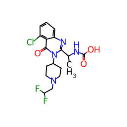 CC(NC(=O)O)c1nc2cccc(Cl)c2c(=O)n1C1CCN(CC(F)F)CC1